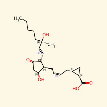 CCCCC[C@@](C)(O)/C=C/[C@H]1C(=O)C[C@H](O)[C@@H]1C/C=C\C[C@@H]1C[C@H]1C(=O)O